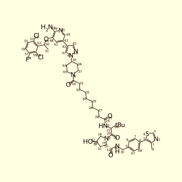 Cc1ncsc1-c1ccc(CNC(=O)[C@@H]2C[C@@H](O)CN2C(=O)C(NC(=O)CCCCCCCCC(=O)N2CCC(n3cc(-c4cnc(N)c(OC(C)c5c(Cl)ccc(F)c5Cl)c4)cn3)CC2)C(C)(C)C)cc1